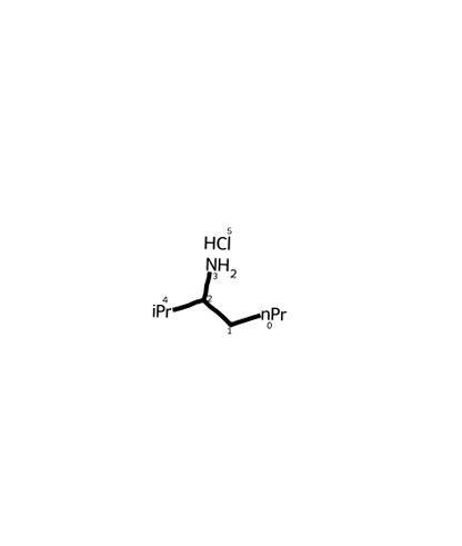 CCCCC(N)C(C)C.Cl